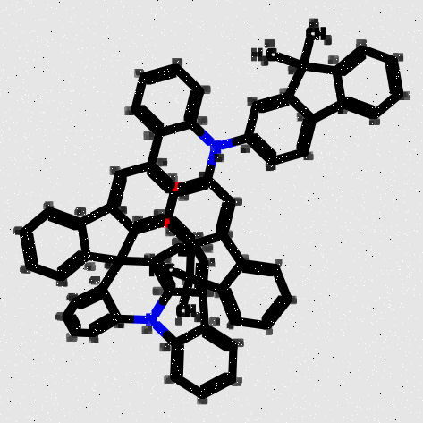 CC1(C)c2ccccc2-c2cc(N(c3ccc4c(c3)C(C)(C)c3ccccc3-4)c3ccccc3-c3ccc4c(c3)-c3ccccc3C43c4ccccc4-n4c5ccccc5c5cccc3c54)ccc21